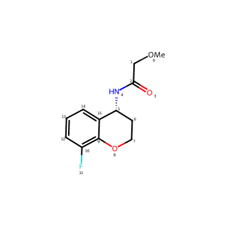 COCC(=O)N[C@@H]1CCOc2c(F)cccc21